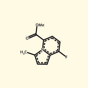 COC(=O)c1ccc(F)c2ccc(C)n12